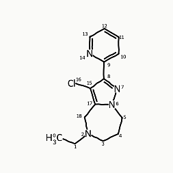 CCN1CCCn2nc(-c3ccccn3)c(Cl)c2C1